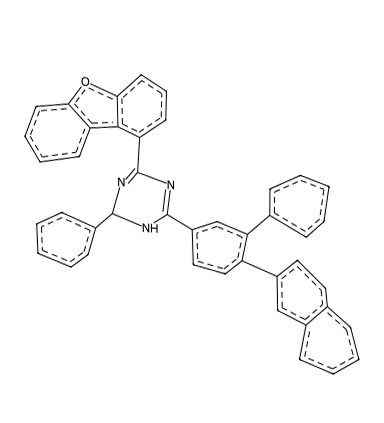 c1ccc(-c2cc(C3=NC(c4cccc5oc6ccccc6c45)=NC(c4ccccc4)N3)ccc2-c2ccc3ccccc3c2)cc1